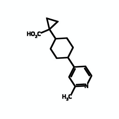 Cc1cc(C2CCC(C3(C(=O)O)CC3)CC2)ccn1